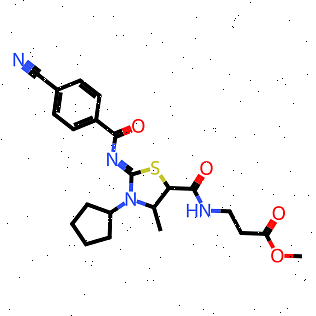 COC(=O)CCNC(=O)C1SC(=NC(=O)c2ccc(C#N)cc2)N(C2CCCC2)C1C